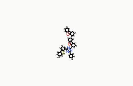 c1ccc(-c2nc(-c3cccc4c3oc3ccc(-c5cccc6c5oc5ccccc56)cc34)nc(-c3cccc4c3sc3ccccc34)n2)cc1